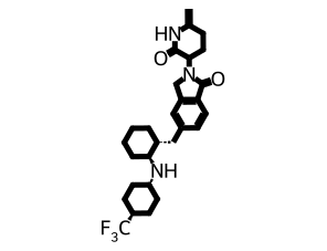 C=C1CCC(N2Cc3cc(C[C@H]4CCCC[C@@H]4N[C@H]4CC[C@H](C(F)(F)F)CC4)ccc3C2=O)C(=O)N1